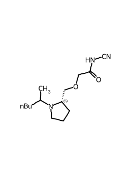 CCCCC(C)N1CCC[C@H]1COCC(=O)NC#N